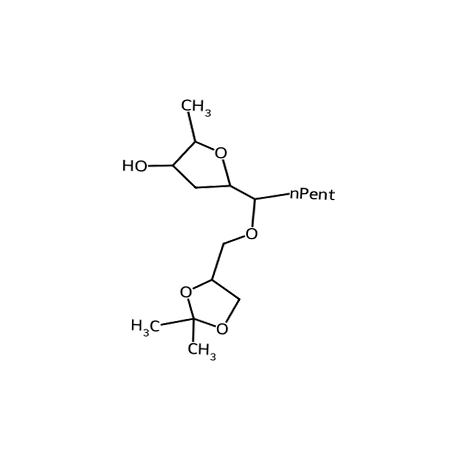 CCCCCC(OCC1COC(C)(C)O1)C1CC(O)C(C)O1